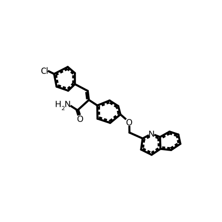 NC(=O)C(=Cc1ccc(Cl)cc1)c1ccc(OCc2ccc3ccccc3n2)cc1